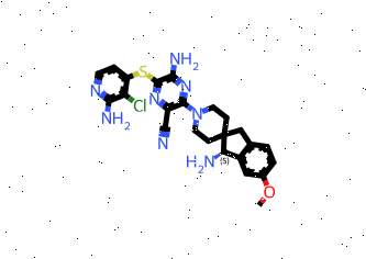 COc1ccc2c(c1)[C@@H](N)C1(CCN(c3nc(N)c(Sc4ccnc(N)c4Cl)nc3C#N)CC1)C2